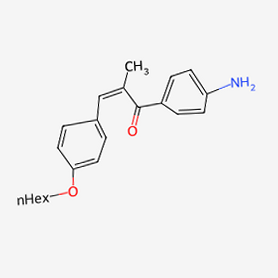 CCCCCCOc1ccc(C=C(C)C(=O)c2ccc(N)cc2)cc1